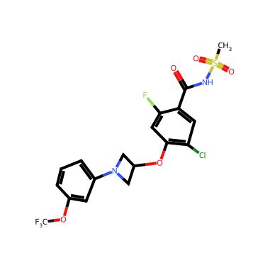 CS(=O)(=O)NC(=O)c1cc(Cl)c(OC2CN(c3cccc(OC(F)(F)F)c3)C2)cc1F